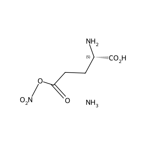 N.N[C@@H](CCC(=O)O[N+](=O)[O-])C(=O)O